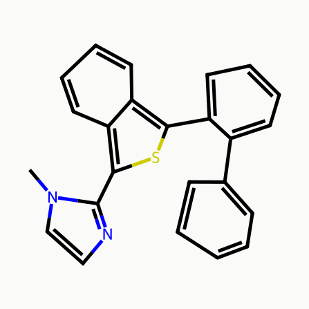 Cn1ccnc1-c1sc(-c2ccccc2-c2ccccc2)c2ccccc12